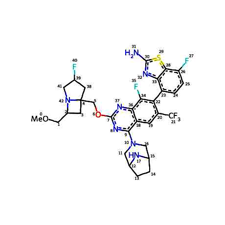 COCC1CC2(COc3nc(N4CC5CCC(C4)N5)c4cc(C(F)(F)F)c(-c5ccc(F)c6sc(N)nc56)c(F)c4n3)CC(F)CN12